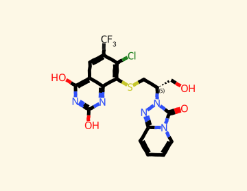 O=c1n([C@@H](CO)CSc2c(Cl)c(C(F)(F)F)cc3c(O)nc(O)nc23)nc2ccccn12